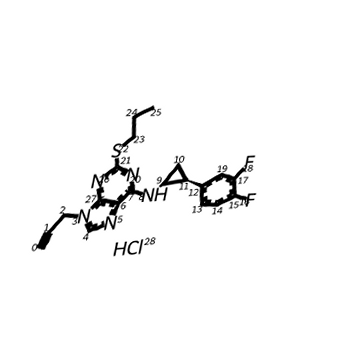 C#CCn1cnc2c(N[C@@H]3C[C@H]3c3ccc(F)c(F)c3)nc(SCCC)nc21.Cl